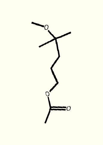 COC(C)(C)CCCOC(C)=O